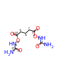 NC(=O)NOC(=O)CCCC(=O)ONC(N)=O